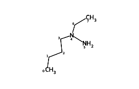 CCCCN(N)CC